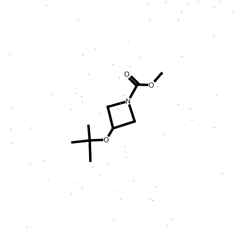 COC(=O)N1CC(OC(C)(C)C)C1